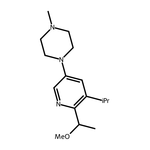 COC(C)c1ncc(N2CCN(C)CC2)cc1C(C)C